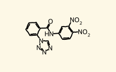 O=C(Nc1ccc([N+](=O)[O-])c([N+](=O)[O-])c1)c1ccccc1-n1cnnn1